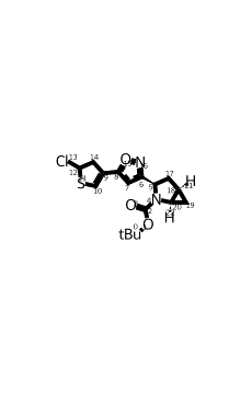 CC(C)(C)OC(=O)N1[C@@H](c2cc(C3=CSC(Cl)C3)on2)C[C@H]2C[C@H]21